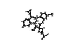 CC(C)N1CC(OCc2cc(Cl)ccc2Cl)(C(=O)N2CCN(C3CC3)c3ccccc32)C1